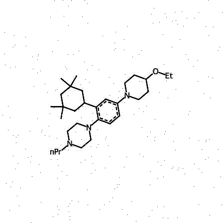 CCCN1CCN(c2ccc(N3CCC(OCC)CC3)cc2C2CC(C)(C)CC(C)(C)C2)CC1